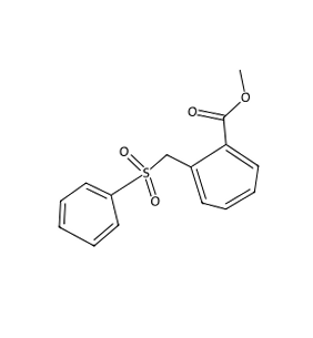 COC(=O)c1ccccc1CS(=O)(=O)c1ccccc1